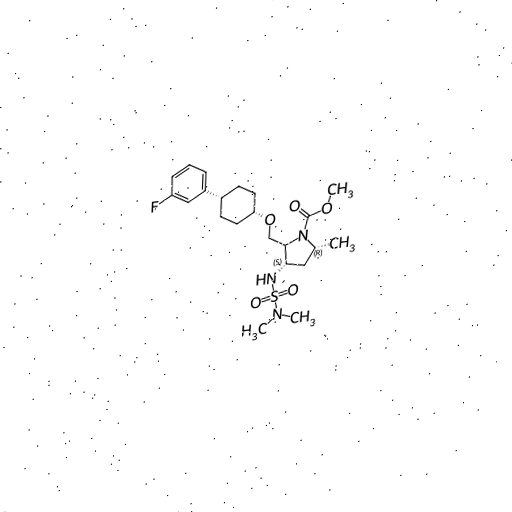 COC(=O)N1C(CO[C@H]2CC[C@@H](c3cccc(F)c3)CC2)[C@@H](NS(=O)(=O)N(C)C)C[C@H]1C